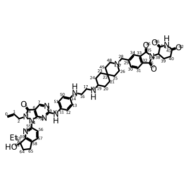 C=CCn1c(=O)c2cnc(Nc3ccc(NCCNC4CCC5(CC4)CCN(Cc4ccc6c(c4)C(=O)N(C4CCC(=O)NC4=O)C6=O)CC5)cc3)nc2n1-c1ccc2c(n1)[C@@](O)(CC)CC2